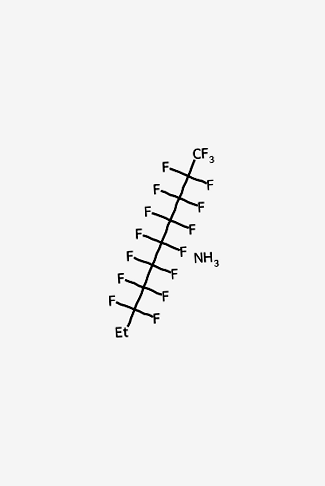 CCC(F)(F)C(F)(F)C(F)(F)C(F)(F)C(F)(F)C(F)(F)C(F)(F)C(F)(F)F.N